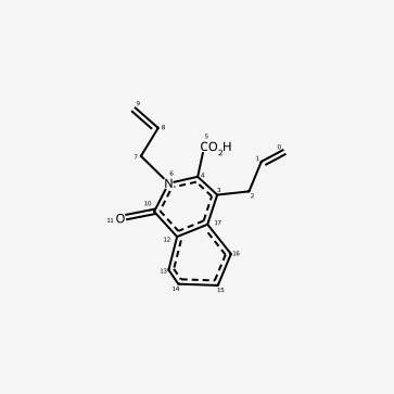 C=CCc1c(C(=O)O)n(CC=C)c(=O)c2ccccc12